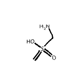 C=S(=O)(O)CN